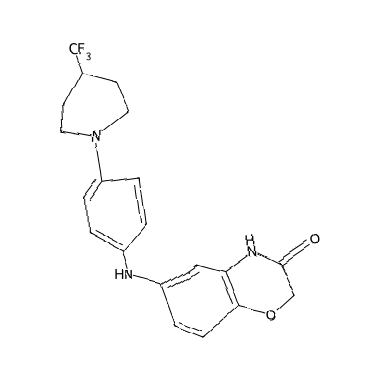 O=C1COc2ccc(Nc3ccc(N4CCC(C(F)(F)F)CC4)cc3)cc2N1